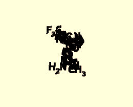 C[C@@H](c1ncccn1)N(Cc1ccc(C(F)(F)F)cn1)C(=O)c1ccc2nc(N)c3c(cnn3C)c2c1